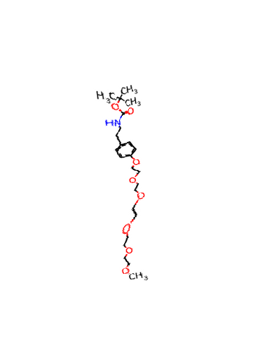 COCCOCCOCCOCCOCCOc1ccc(CCNC(=O)OC(C)(C)C)cc1